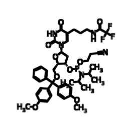 COc1ccc(C(OC[C@H]2O[C@@H](n3cc(CCCNC(=O)C(F)(F)F)c(=O)[nH]c3=O)C[C@@H]2OP(OCCC#N)N(C(C)C)C(C)C)(c2ccccc2)c2ccc(OC)cc2)cc1